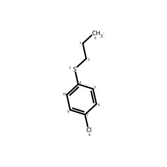 [CH2]CCSc1ccc(Cl)cc1